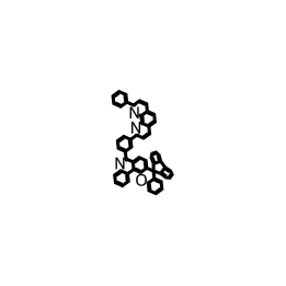 c1ccc(-c2ccc3ccc4ccc(-c5cccc(-c6nc7ccccc7c7c8c(ccc67)C6(c7ccccc7O8)c7ccccc7-c7ccccc76)c5)nc4c3n2)cc1